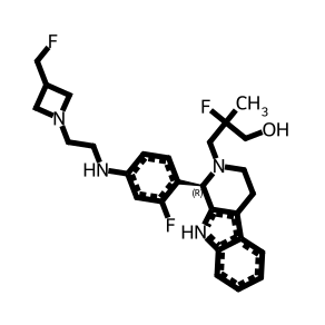 CC(F)(CO)CN1CCc2c([nH]c3ccccc23)[C@H]1c1ccc(NCCN2CC(CF)C2)cc1F